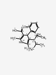 CC1=C(C(=O)O)C(c2ccccc2Cl)C(P(C(C)C)C(C)C)=C(C)N1